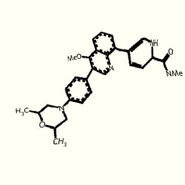 CNC(=O)C1C=CC(c2cccc3c(OC)c(-c4ccc(N5CC(C)OC(C)C5)cc4)cnc23)=CN1